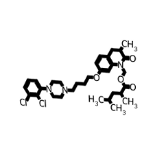 CC(C)CC(C)C(=O)OCN1C(=O)C(C)Cc2ccc(OCCCCN3CCN(c4cccc(Cl)c4Cl)CC3)cc21